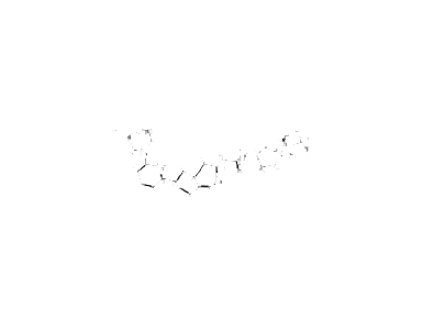 C[C@@H]1CN(c2cccc(-c3ccc4cnc(CC(=O)N[C@H]5CN(S(=O)(=O)C(F)F)C[C@H]5C)cc4c3)n2)C[C@H](C)O1